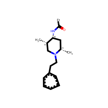 CCC(=O)N[C@@H]1C[C@H](C)N(CCc2ccccc2)C[C@@H]1C